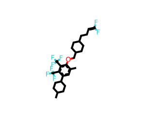 Cc1cc(C2CCC(C)CC2)c(C(F)(F)F)c(C(F)(F)F)c1OCC1CCC(CCC=C(F)F)CC1